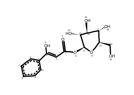 O=C(C=C(O)c1ccccc1)O[C@@H]1O[C@H](CO)[C@@H](O)[C@H](O)[C@H]1O